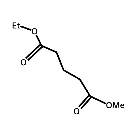 CCOC(=O)[CH]CCC(=O)OC